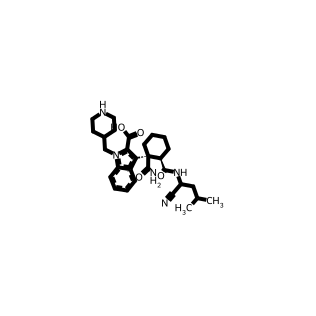 CC(C)CC(C#N)NC(=O)[C@@H]1CCCC[C@@]1(C(N)=O)c1c(C(=O)O)n(CC2CCNCC2)c2ccccc12